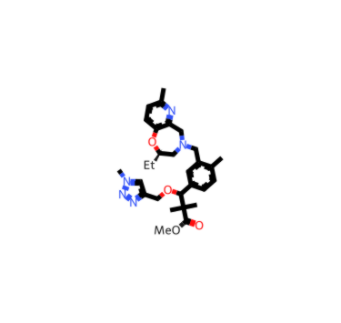 CC[C@@H]1CN(Cc2cc(C(OCc3cn(C)nn3)C(C)(C)C(=O)OC)ccc2C)Cc2nc(C)ccc2O1